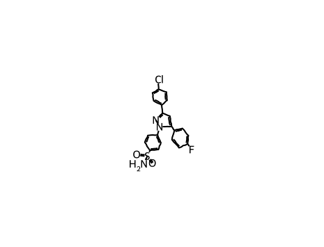 NS(=O)(=O)c1ccc(-n2nc(-c3ccc(Cl)cc3)cc2-c2ccc(F)cc2)cc1